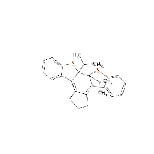 CC(C)C12Sc3ccccc3C1=C1CCCC1=C1c3ccccc3SC12C(C)C